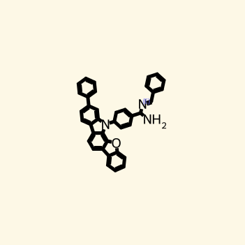 NC(/N=C/c1ccccc1)C1=CCC(n2c3cc(-c4ccccc4)ccc3c3ccc4c5ccccc5oc4c32)C=C1